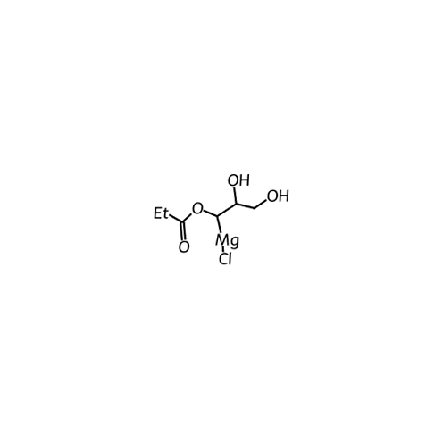 CCC(=O)O[CH]([Mg][Cl])C(O)CO